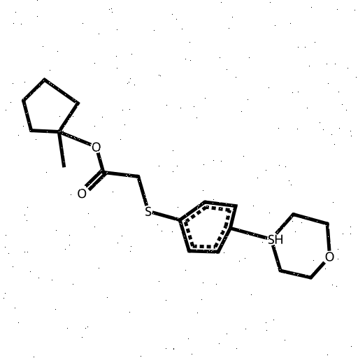 CC1(OC(=O)CSc2ccc([SH]3CCOCC3)cc2)CCCC1